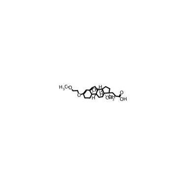 COCCOC1=CC2=CC[C@@H]3[C@H](CC[C@@]4(C)[C@H]3CC[C@@]4(O)CCC(=O)O)[C@@]2(C)CC1